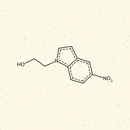 O=[N+]([O-])c1ccc2c(ccn2CCO)c1